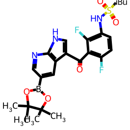 CCC(C)S(=O)(=O)Nc1ccc(F)c(C(=O)c2c[nH]c3ncc(B4OC(C)(C)C(C)(C)O4)cc23)c1F